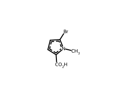 Cn1c(Br)ccc1C(=O)O